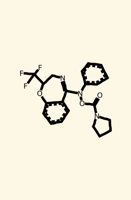 O=C(ON(C1=NCC(C(F)(F)F)Oc2ccccc21)c1ccccc1)N1CCCC1